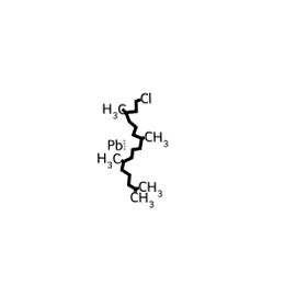 CC(C)CCCC(C)CCCC(C)CCCC(C)CCCl.[Pb]